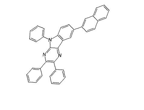 c1ccc(-c2nc3c4cc(-c5ccc6ccccc6c5)ccc4n(-c4ccccc4)c3nc2-c2ccccc2)cc1